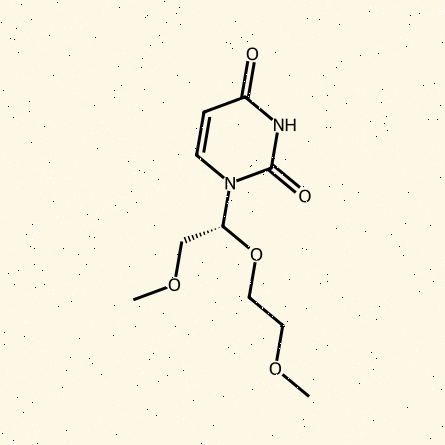 COCCO[C@H](COC)n1ccc(=O)[nH]c1=O